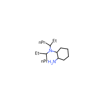 CCCC(CC)N(C(CC)CCC)C1CCCCC1N